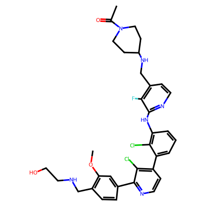 COc1cc(-c2nccc(-c3cccc(Nc4nccc(CNC5CCN(C(C)=O)CC5)c4F)c3Cl)c2Cl)ccc1CNCCO